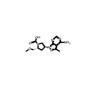 COC[C@H]1C[C@H](n2nc(I)c3c(N)ncnc32)CN1C(=O)O